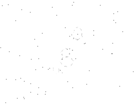 Nc1ccc2c(ccn2Cc2ccccn2)c1F